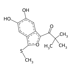 CSc1oc(C(=O)C(C)(C)C)c2cc(O)c(O)cc12